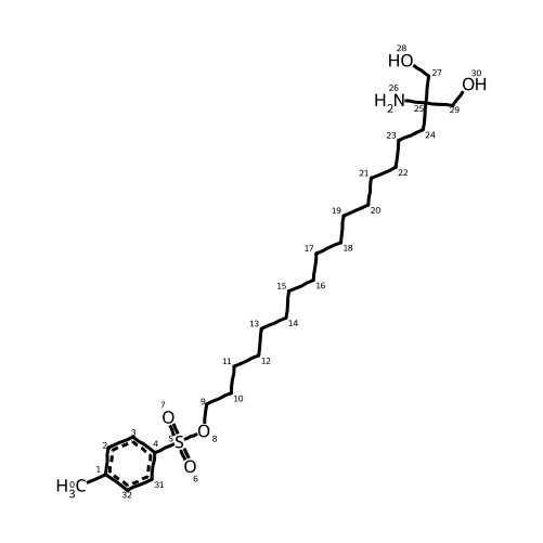 Cc1ccc(S(=O)(=O)OCCCCCCCCCCCCCCCCC(N)(CO)CO)cc1